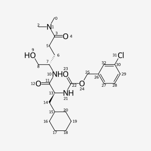 CN(C)C(=O)CC[C@@H](CO)NC(=O)[C@H](CC1CCCCC1)NC(=O)OCc1cccc(Cl)c1